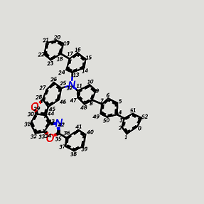 c1ccc(-c2ccc(-c3ccc(N(c4cccc(-c5ccccc5)c4)c4ccc5oc6ccc7oc(-c8ccccc8)nc7c6c5c4)cc3)cc2)cc1